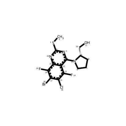 CSc1nc(N2CCC[C@H]2CO)c2c(F)c(Cl)c(Br)c(F)c2n1